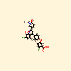 Cc1cc(Cl)ccc1C(C/C(=N\O)c1ccc(=O)n(C)c1)c1ccc(Oc2ccc(F)c(C(=O)O)c2)cc1